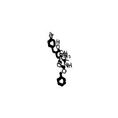 CC(NC(=O)OCc1ccccc1)P(=O)(O)CC(Cc1ccc(Br)cc1)C(=O)O